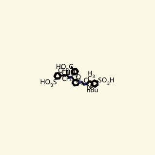 C=C(/C=C/C1=C(Oc2ccc(C(=O)O)cc2)C(=C/C=C2/N(CCCC)c3ccc(S(=O)(=O)O)cc3C2(C)C)/CCC1)C(C)(C)c1cc(S(=O)(=O)O)ccc1C